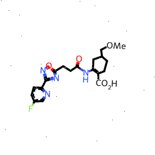 COCC1CCC(C(=O)O)=C(NC(=O)CCc2nc(-c3ccc(F)cn3)no2)C1